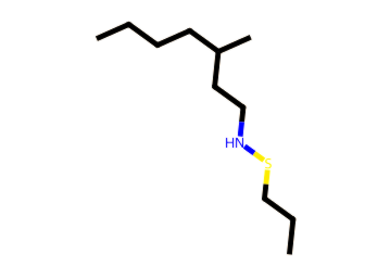 CCCCC(C)CCNSCCC